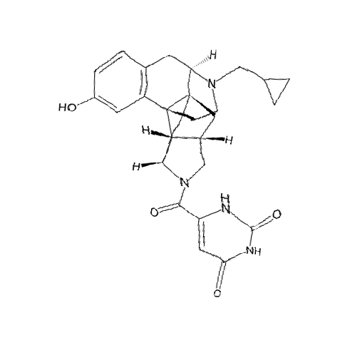 O=C(c1cc(=O)[nH]c(=O)[nH]1)N1C[C@H]2C[C@@]34CC[C@@H]1[C@@H]2[C@@]31CCN(CC2CC2)[C@@H]4Cc2ccc(O)cc21